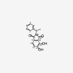 CC(c1ccccc1)N1C(=O)c2ccc(O)c(O)c2C1=O